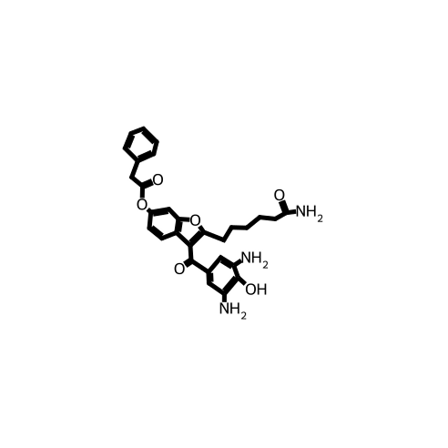 NC(=O)CCCCCc1oc2cc(OC(=O)Cc3ccccc3)ccc2c1C(=O)c1cc(N)c(O)c(N)c1